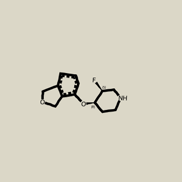 F[C@H]1CNCC[C@H]1Oc1cccc2c1COC2